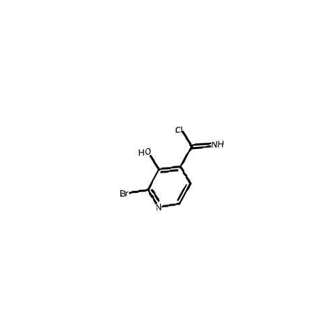 N=C(Cl)c1ccnc(Br)c1O